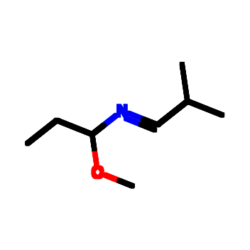 CCC(N=CC(C)C)OC